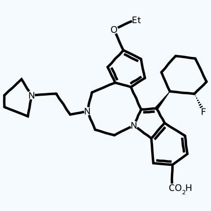 CCOc1ccc2c(c1)CN(CCN1CCCC1)CCn1c-2c([C@H]2CCCC[C@@H]2F)c2ccc(C(=O)O)cc21